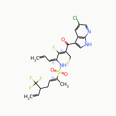 C=C/C=C(NS(=O)(=O)/C(C)=C/CC(C=C)C(F)(F)F)\C(F)=C(/CF)C(=O)c1c[nH]c2ncc(Cl)cc12